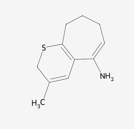 CC1=CC2=C(CCCC=C2N)SC1